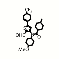 COC1CCC(N(C(=O)C2CCC(C)CC2)c2cc(C3=CCC(C(F)(F)F)CC3)sc2C=O)CC1